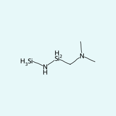 CN(C)C[SiH2]N[SiH3]